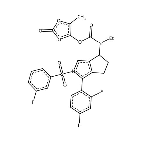 CCN(C(=O)Oc1oc(=O)oc1C)C1CCc2c1cn(S(=O)(=O)c1cccc(F)c1)c2-c1ccc(F)cc1F